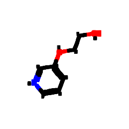 OCCOc1cccnc1